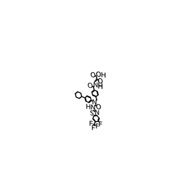 O=C(NC[C@@H](O)C(=O)O)c1ccc(CN(C(=O)Nc2nc3cc(F)c(C(F)(F)F)cc3s2)c2ccc(C3CCCCC3)cc2)cc1